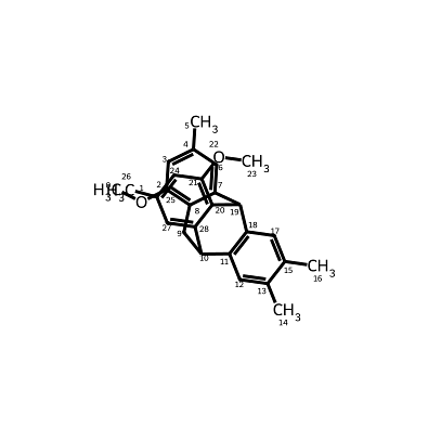 COc1cc(C)cc2c1CC1c3cc(C)c(C)cc3C2c2c(OC)cc(C)cc21